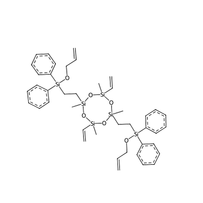 C=CCO[Si](CC[Si]1(C)O[Si](C)(C=C)O[Si](C)(CC[Si](OCC=C)(c2ccccc2)c2ccccc2)O[Si](C)(C=C)O1)(c1ccccc1)c1ccccc1